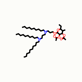 CCCCCCCCCCN(CCCCCCCCCC)CCCN(CCCCCCCCCC)CCCOC1OC(CC)C(C)C(OC(C)=O)C1OC(C)=O